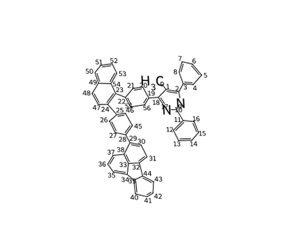 Cc1c(-c2ccccc2)nc(-c2ccccc2)nc1-c1ccc(-c2c(-c3ccc(-c4ccc5c6c(cccc46)-c4ccccc4-5)cc3)ccc3ccccc23)cc1